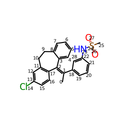 C/C(=C1/c2ccccc2CCc2cc(Cl)ccc21)c1cccc(NS(C)(=O)=O)c1